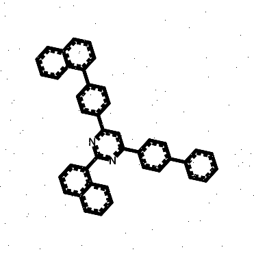 c1ccc(-c2ccc(-c3cc(-c4ccc(-c5cccc6ccccc56)cc4)nc(-c4cccc5ccccc45)n3)cc2)cc1